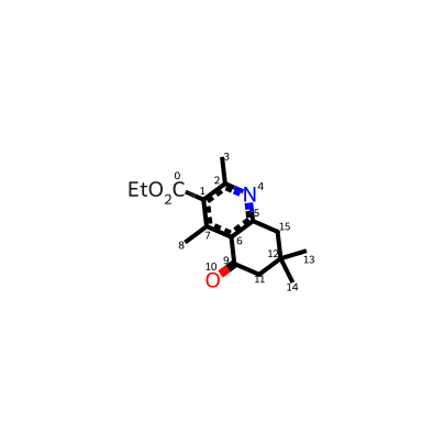 CCOC(=O)c1c(C)nc2c(c1C)C(=O)CC(C)(C)C2